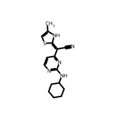 CC1=CSC(=C(C#N)c2ccnc(NC3CCCCC3)n2)N1